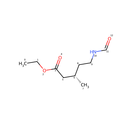 CCOC(=O)C[C@@H](C)CCNC=O